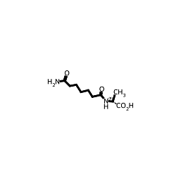 C[C@@H](NC(=O)CCCCCC(N)=O)C(=O)O